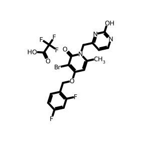 Cc1cc(OCc2ccc(F)cc2F)c(Br)c(=O)n1Cc1ccnc(O)n1.O=C(O)C(F)(F)F